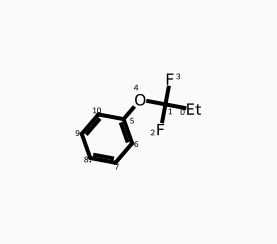 CCC(F)(F)Oc1cc[c]cc1